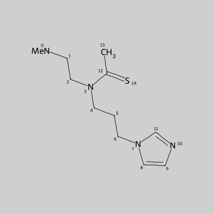 CNCCN(CCCn1ccnc1)C(C)=S